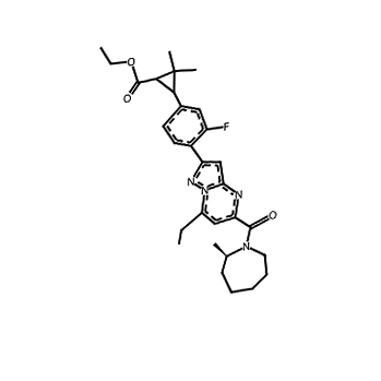 CCOC(=O)C1C(c2ccc(-c3cc4nc(C(=O)N5CCCCC[C@H]5C)cc(CC)n4n3)c(F)c2)C1(C)C